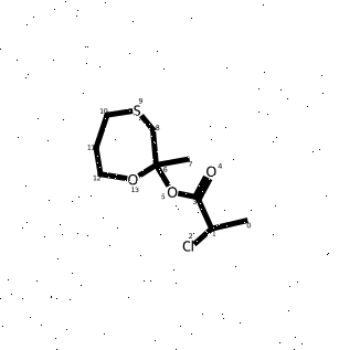 CC(Cl)C(=O)OC1(C)CSCCCO1